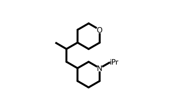 CC(CC1CCCN(C(C)C)C1)C1CCOCC1